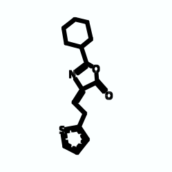 O=C1OC(C2CCCCC2)=N/C1=C/Cc1cccs1